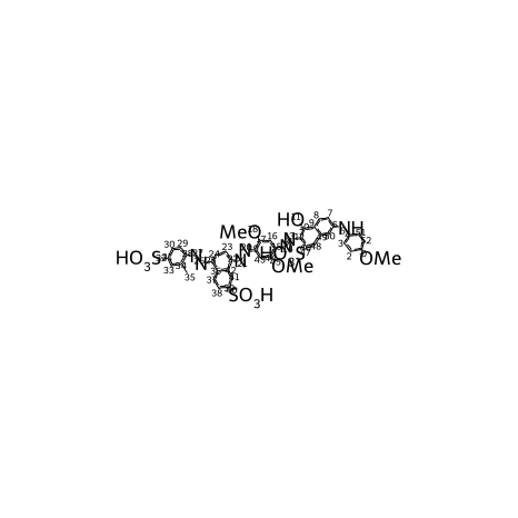 COc1ccc(Nc2ccc3c(O)c(N=Nc4cc(OC)c(N=Nc5ccc(N=Nc6ccc(S(=O)(=O)O)cc6C)c6ccc(S(=O)(=O)O)cc56)cc4OC)c(S(=O)(=O)O)cc3c2)cc1